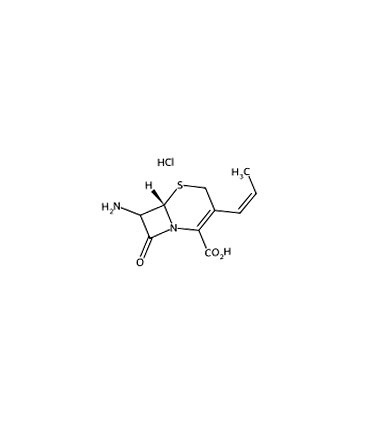 C/C=C\C1=C(C(=O)O)N2C(=O)C(N)[C@@H]2SC1.Cl